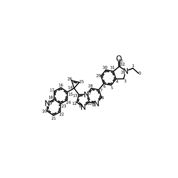 CCN1Cc2cc(-c3cnc4ncc(C5(c6ccc7ncccc7c6)C=C5)n4c3)ccc2C1=O